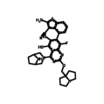 N#Cc1c(N)sc2cccc(-c3c(Cl)c(O)c4c(N5CC6CCC(C5)N6)nc(OCC56CCCN5CCC6)nc4c3F)c12